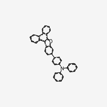 c1ccc(N(c2ccccc2)c2ccc(-c3ccc4c(c3)oc3c5ccccc5c5ccccc5c43)cc2)cc1